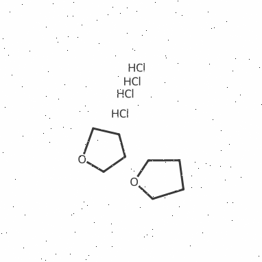 C1CCOC1.C1CCOC1.Cl.Cl.Cl.Cl